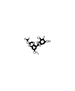 Cc1cc(-c2nc3c(Cl)c(F)c(O)cc3s2)c2ncc(OC(F)F)nc2c1